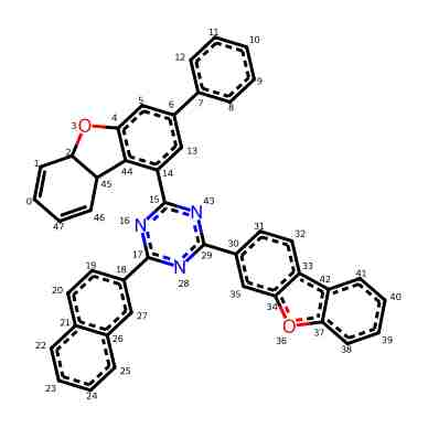 C1=CC2Oc3cc(-c4ccccc4)cc(-c4nc(-c5ccc6ccccc6c5)nc(-c5ccc6c(c5)oc5ccccc56)n4)c3C2C=C1